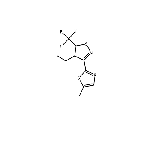 CCC1C(c2ncc(C)s2)=NSC1C(F)(F)F